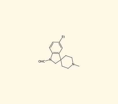 CCc1ccc2c(c1)C1(CCN(C)CC1)CN2C=O